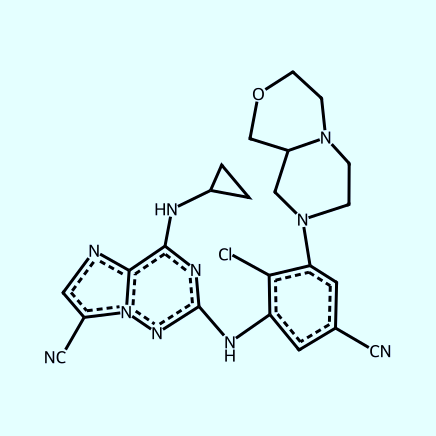 N#Cc1cc(Nc2nc(NC3CC3)c3ncc(C#N)n3n2)c(Cl)c(N2CCN3CCOCC3C2)c1